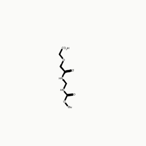 CC(C)(C)OC(=O)NCNC(=O)COCC(=O)O